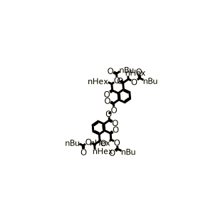 CCCCCCC(OC(=O)CCCC)C(=O)c1cccc(C(=O)OOC(=O)c2cccc(C(=O)C(CCCCCC)OC(=O)CCCC)c2C(=O)C(CCCCCC)OC(=O)CCCC)c1C(=O)C(CCCCCC)OC(=O)CCCC